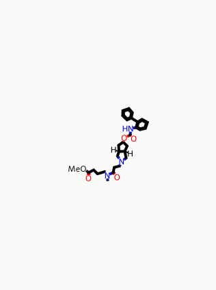 COC(=O)CCCN(C)C(=O)CCN1C[C@H]2CC(OC(=O)Nc3ccccc3-c3ccccc3)C[C@H]2C1